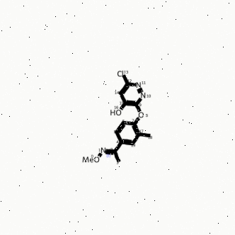 CO/N=C(\C)c1ccc(Oc2nnc(Cl)cc2O)c(C)c1